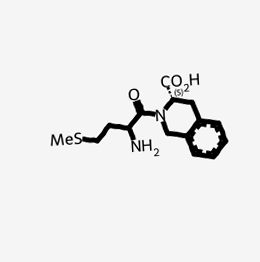 CSCCC(N)C(=O)N1Cc2ccccc2C[C@H]1C(=O)O